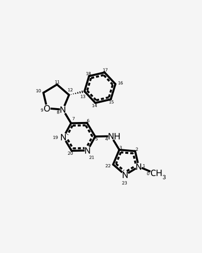 Cn1cc(Nc2cc(N3OCC[C@@H]3c3ccccc3)ncn2)cn1